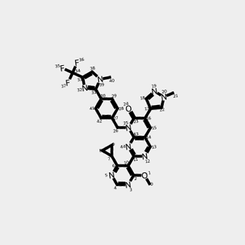 COc1ncnc(C2CC2)c1-c1ncc2cc(-c3cnn(C)c3)c(=O)n(Cc3ccc(-c4nc(C(F)(F)F)cn4C)cc3)c2n1